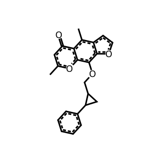 Cc1cc(=O)c2c(C)c3ccoc3c(OCC3CC3c3ccccc3)c2o1